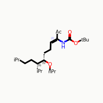 CCCO[C@@H](CC/C=C(\NC(=O)OC(C)(C)C)C(C)=O)[C@@H](CCC(C)C)C(C)C